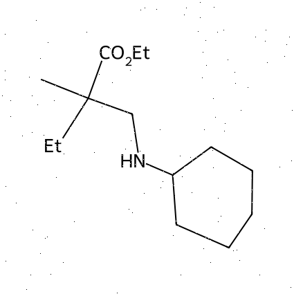 CCOC(=O)C(C)(CC)CNC1CCCCC1